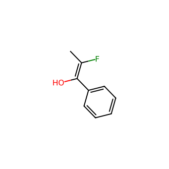 CC(F)=C(O)c1ccccc1